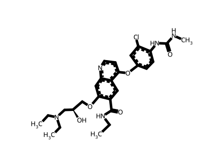 CCNC(=O)c1cc2c(Oc3ccc(NC(=O)NC)c(Cl)c3)ccnc2cc1OC[C@@H](O)CN(CC)CC